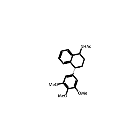 COc1cc([C@H]2CCC(NC(C)=O)c3ccccc32)cc(OC)c1OC